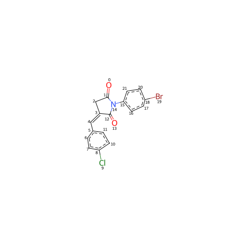 O=C1CC(=Cc2ccc(Cl)cc2)C(=O)N1c1ccc(Br)cc1